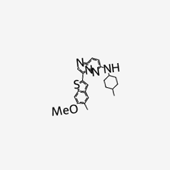 COc1cc2sc(-c3cnc4ccc(NC5CCC(C)CC5)nn34)cc2cc1C